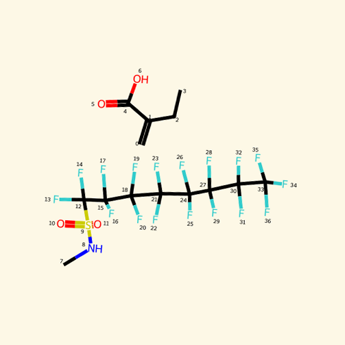 C=C(CC)C(=O)O.CNS(=O)(=O)C(F)(F)C(F)(F)C(F)(F)C(F)(F)C(F)(F)C(F)(F)C(F)(F)C(F)(F)F